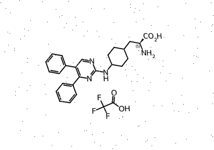 N[C@@H](CC1CCC(Nc2ncc(-c3ccccc3)c(-c3ccccc3)n2)CC1)C(=O)O.O=C(O)C(F)(F)F